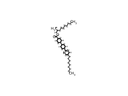 CCCCCCCCCc1cnc(-c2ccc(-c3ccc(C(=O)OC[C@H](C)CCCCCCCC)cc3)cc2)nc1